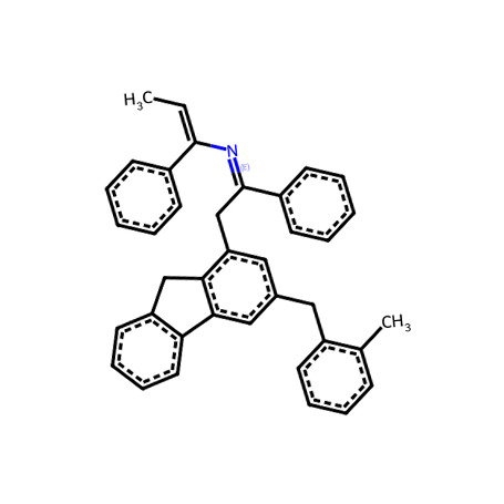 CC=C(/N=C(\Cc1cc(Cc2ccccc2C)cc2c1Cc1ccccc1-2)c1ccccc1)c1ccccc1